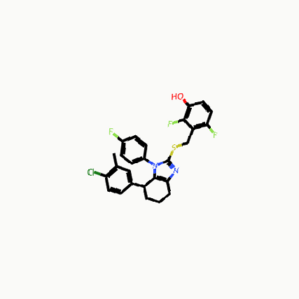 Cc1cc(C2CCCc3nc(SCc4c(F)ccc(O)c4F)n(-c4ccc(F)cc4)c32)ccc1Cl